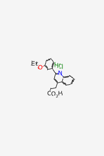 CCOc1cccc(-c2cc(CCC(=O)O)c3ccccc3n2)c1.Cl